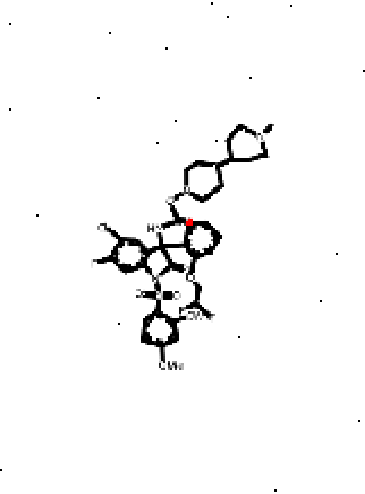 COc1ccc(S(=O)(=O)N2C(=O)C(NC(=O)ON3CCC(C4CCN(C)CC4)CC3)(c3ccccc3OCC(F)F)c3cc(Cl)c(F)cc32)c(OC)c1